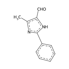 Cc1nc(-c2ccccc2)[nH]c1C=O